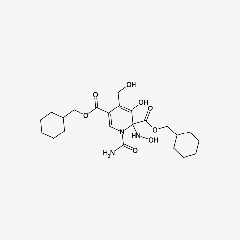 NC(=O)N1C=C(C(=O)OCC2CCCCC2)C(CO)=C(O)C1(NO)C(=O)OCC1CCCCC1